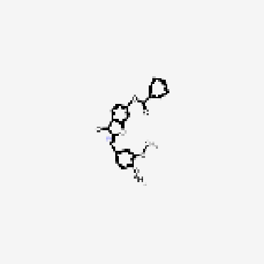 COc1ccc(/C=C2\Oc3cc(OC(=O)c4ccccc4)ccc3C2=O)cc1OC